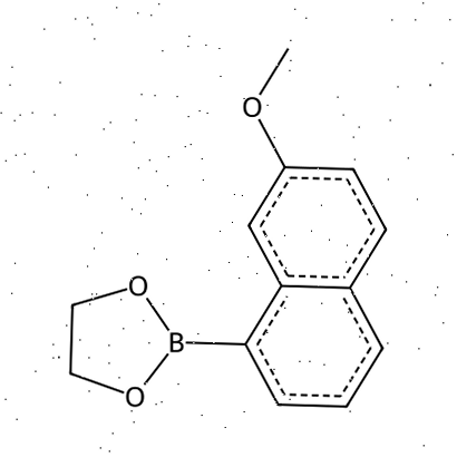 COc1ccc2cccc(B3OCCO3)c2c1